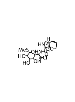 CSC1OC([C@H](NC(=O)[C@H]2NC[C@@H]3C=CCCO[C@@H]23)[C@H](C)Cl)C(O)C(O)C1O